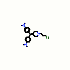 CN(C)c1ccc(C(=C2CCN(CCCCl)CC2)c2ccc(N(C)C)cc2)cc1